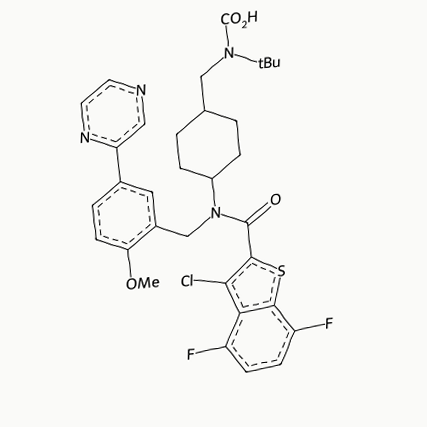 COc1ccc(-c2cnccn2)cc1CN(C(=O)c1sc2c(F)ccc(F)c2c1Cl)C1CCC(CN(C(=O)O)C(C)(C)C)CC1